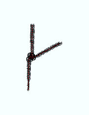 C#CC#CC#CC#CC#CC#CC#CC#CC#CC#CC#CC#CC#CC#COC(=O)/C=C(\CC(=O)OC#CC#CC#CC#CC#CC#CC#CC#CC#CC#CC#CC#CC#CC#C)C(=O)OC#CC#CC#CC#CC#CC#CC#CC#CC#CC#CC#CC#CC#CC#C